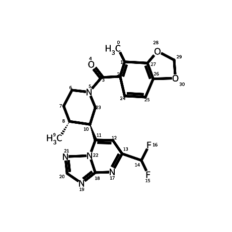 Cc1c(C(=O)N2CC[C@@H](C)[C@H](c3cc(C(F)F)nc4ncnn34)C2)ccc2c1OCO2